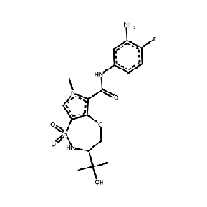 Cn1cc2c(c1C(=O)Nc1ccc(F)c(N)c1)OC[C@@H](C(C)(C)O)NS2(=O)=O